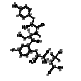 CN(C(=O)[C@@H](N)Cc1ccc(O)cc1)[C@](C)(CS)C(=O)c1cc(F)ccc1C[C@H](N)C(=O)N[C@@H](C(=O)O)C(C)(C)S